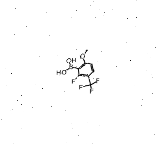 COc1ccc(C(F)(F)F)c(F)c1B(O)O